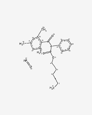 CCCCCOC(=O)C(C(=O)c1c(C)cc(C)cc1C)c1ccccc1.O=P